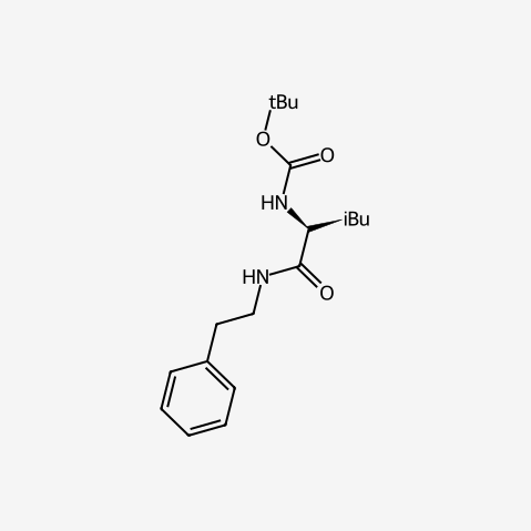 CC[C@H](C)[C@H](NC(=O)OC(C)(C)C)C(=O)NCCc1ccccc1